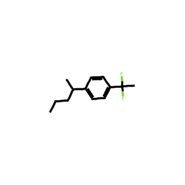 CCCC(C)c1ccc(C(C)(F)F)cc1